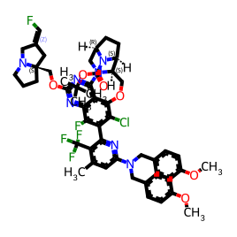 COc1ccc(CN(Cc2ccc(OC)cc2)c2cc(C)c(C(F)(F)F)c(-c3c(Cl)c4c5c(nc(OC[C@@]67CCCN6C/C(=C\F)C7)nc5c3F)N3C[C@H]5CC[C@@H]([C@H]3CO4)N5C(=O)OC(C)(C)C)n2)cc1